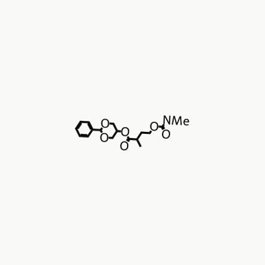 CNC(=O)OCCC(C)C(=O)OC1COC(c2ccccc2)OC1